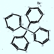 [Br-].c1ccc([N+](c2ccccc2)(c2ccccc2)c2ccccc2)cc1